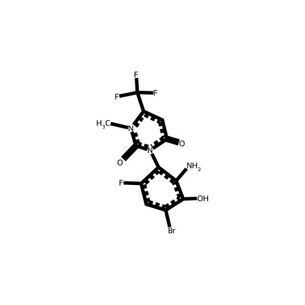 Cn1c(C(F)(F)F)cc(=O)n(-c2c(F)cc(Br)c(O)c2N)c1=O